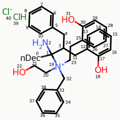 CCCCCCCCCCC(N)(C(Cc1ccccc1)Cc1ccccc1O)[N+](CCO)(CCc1ccccc1O)Cc1ccccc1.Cl.[Cl-]